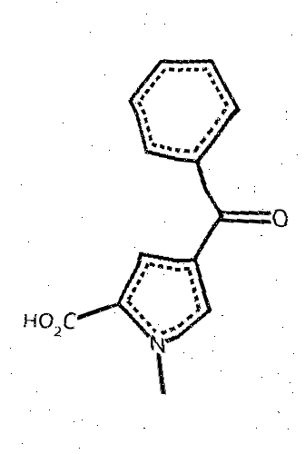 Cn1cc(C(=O)c2ccccc2)cc1C(=O)O